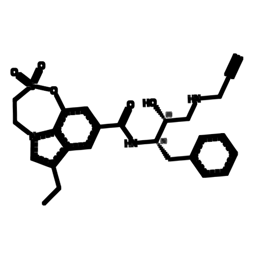 C#CCNC[C@@H](O)[C@H](Cc1ccccc1)NC(=O)c1cc2c3c(c1)c(CC)cn3CCS(=O)(=O)O2